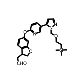 C[Si](C)(C)CCOCn1nccc1-c1ccc(Oc2ccc3c(c2)OCC3CC=O)nc1